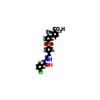 CCc1c(C(=O)O)cccc1-c1cccc(S(=O)(=O)c2ccc(CCNCC(O)c3cccc(Cl)c3)cc2)c1